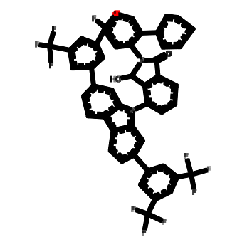 O=C1c2cccc(-n3c4cc(-c5cc(C(F)(F)F)cc(C(F)(F)F)c5)ccc4c4ccc(-c5cc(C(F)(F)F)cc(C(F)(F)F)c5)cc43)c2C(O)N1c1ccccc1-c1ccccc1